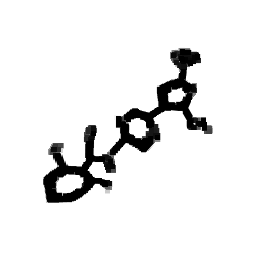 COc1cc(-c2cnc(NC(=O)c3c(F)cccc3F)cn2)c(C)s1